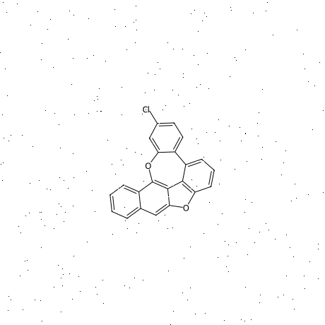 Clc1ccc2c(c1)oc1c3ccccc3cc3oc4cccc2c4c31